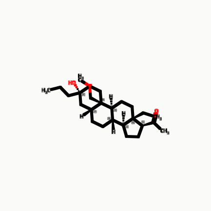 CCC[C@@]1(O)CC[C@@]2(COC)[C@H](CC[C@@H]3[C@@H]2CC[C@]2(CC)[C@@H](C(C)=O)CC[C@@H]32)C1